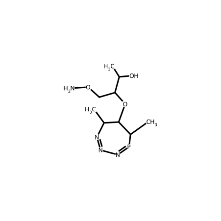 CC(O)C(CON)OC1C(C)N=NN=PC1C